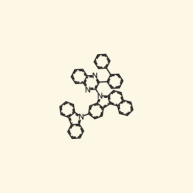 c1ccc(-c2ccccc2-c2nc3ccccc3nc2-n2c3cc(-n4c5ccccc5c5ccccc54)ccc3c3c4ccccc4ccc32)cc1